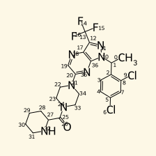 CC(c1ccc(Cl)cc1Cl)n1nc(C(F)(F)F)c2ncc(N3CCN(C(=O)C4CCCCN4)CC3)nc21